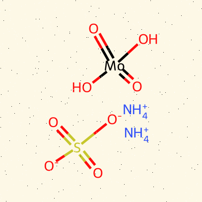 O=S(=O)([O-])[O-].[NH4+].[NH4+].[O]=[Mo](=[O])([OH])[OH]